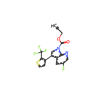 C#CCOC(=O)n1cc(-c2ccsc2C(F)(F)F)c2cc(F)cnc21